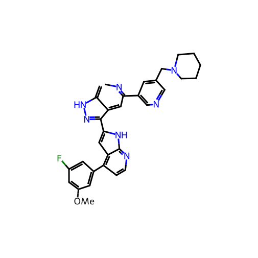 C=c1[nH]nc(-c2cc3c(-c4cc(F)cc(OC)c4)ccnc3[nH]2)/c1=C/C(=N\C)c1cncc(CN2CCCCC2)c1